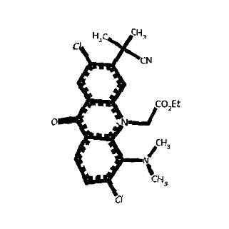 CCOC(=O)Cn1c2cc(C(C)(C)C#N)c(Cl)cc2c(=O)c2ccc(Cl)c(N(C)C)c21